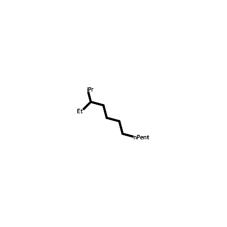 [CH2]C(C)C(CC)CCCCCCCCC